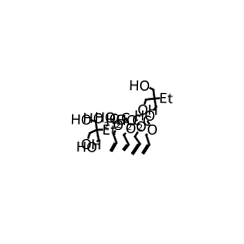 C=CCOC(=O)O.C=CCOC(=O)O.C=CCOC(=O)O.C=CCOC(=O)O.CCC(CO)(CO)CO.CCC(CO)(CO)CO